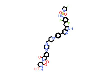 O=C1NC(O)CCC1N1C(=O)c2ccc(N3CCN(CC4CCN(c5ccc(-c6cnc7[nH]cc(Cc8c(F)ccc(NS(=O)(=O)N9CC[C@@H](F)C9)c8F)c7c6)cc5)CC4)CC3)cc2C1=O